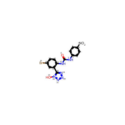 O=C(Nc1ccc([N+](=O)[O-])cc1)Nc1ccc(Br)cc1-c1nnnn1O